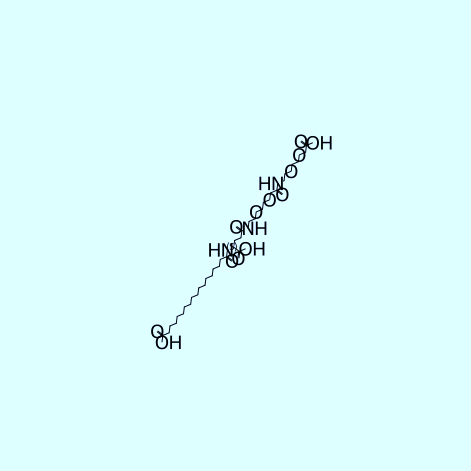 O=C(O)CCCCCCCCCCCCCCCCC(=O)N[C@@H](CCC(=O)NCCOCCOCC(=O)NCCOCCOCC(=O)O)C(=O)O